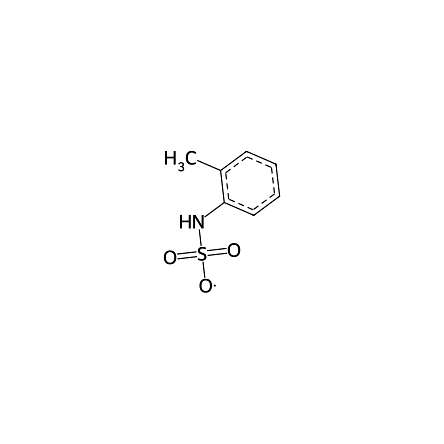 Cc1ccccc1NS([O])(=O)=O